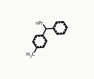 CCCC(c1ccccc1)c1ccc(C)cc1